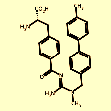 Cc1ccc(-c2ccc(CN(C)C(N)=NC(=O)c3ccc(C[C@H](N)C(=O)O)cc3)cc2)cc1